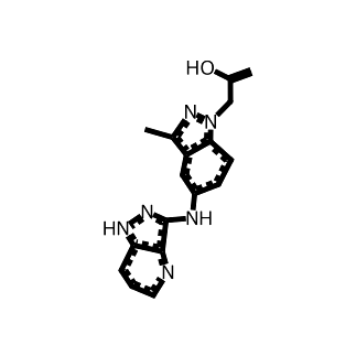 C=C(O)Cn1nc(C)c2cc(Nc3n[nH]c4cccnc34)ccc21